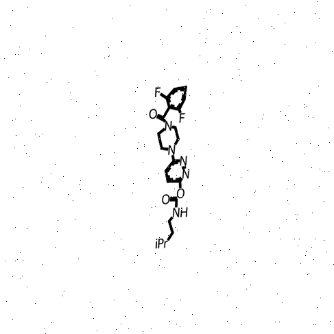 CC(C)CCNC(=O)Oc1ccc(N2CCN(C(=O)c3c(F)cccc3F)CC2)nn1